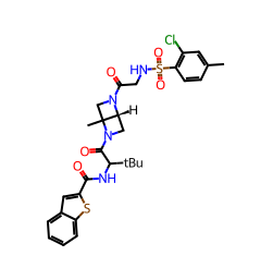 Cc1ccc(S(=O)(=O)NCC(=O)N2CC3(C)[C@H]2CN3C(=O)C(NC(=O)c2cc3ccccc3s2)C(C)(C)C)c(Cl)c1